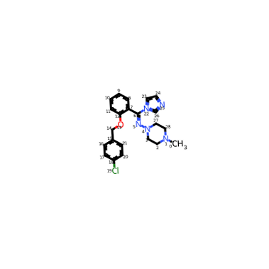 CN1CCN(N=C(c2ccccc2OCc2ccc(Cl)cc2)n2ccnc2)CC1